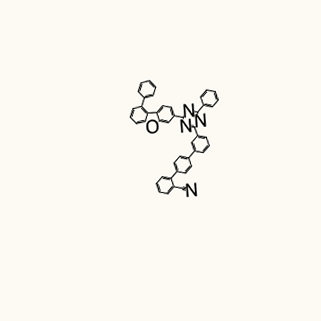 N#Cc1ccccc1-c1ccc(-c2cccc(-c3nc(-c4ccccc4)nc(-c4ccc5c(c4)oc4cccc(-c6ccccc6)c45)n3)c2)cc1